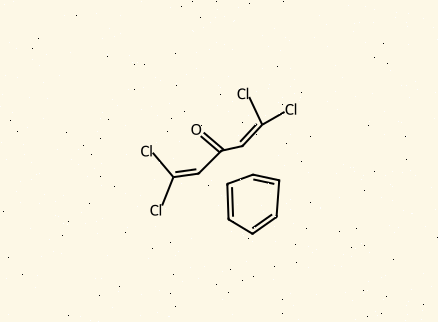 O=C(C=C(Cl)Cl)C=C(Cl)Cl.c1ccccc1